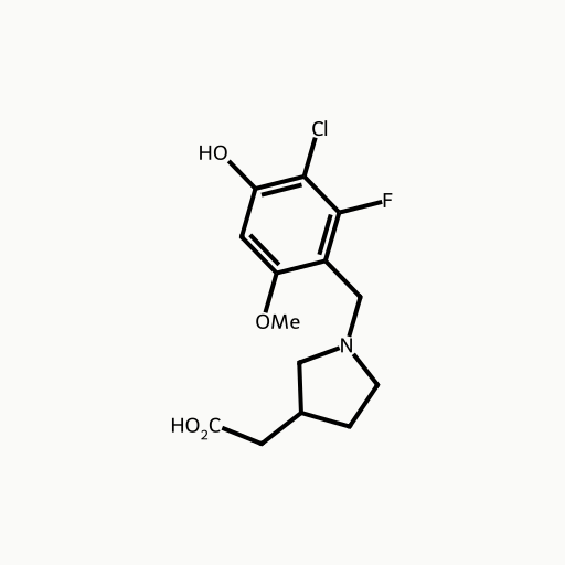 COc1cc(O)c(Cl)c(F)c1CN1CCC(CC(=O)O)C1